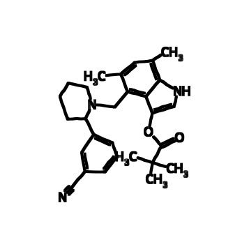 Cc1cc(C)c2[nH]cc(OC(=O)C(C)(C)C)c2c1CN1CCCCC1c1cccc(C#N)c1